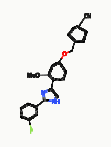 COc1cc(OCc2ccc(C#N)cc2)ccc1-c1c[nH]c(-c2cccc(F)c2)n1